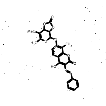 COC1=C(C)OC(Oc2ccc3c(O)c(/N=N/c4ccccc4)c(=O)oc3c2C)C2OC(=O)OC12